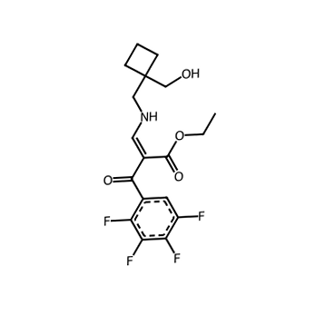 CCOC(=O)C(=CNCC1(CO)CCC1)C(=O)c1cc(F)c(F)c(F)c1F